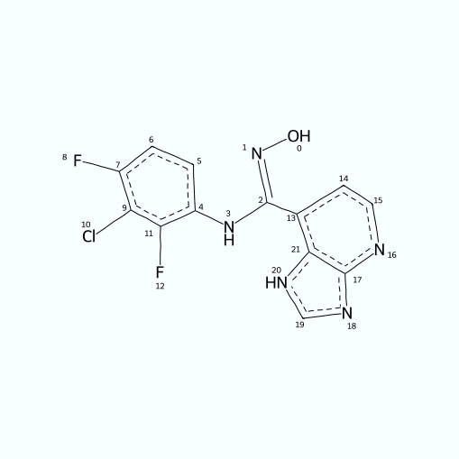 O/N=C(/Nc1ccc(F)c(Cl)c1F)c1ccnc2nc[nH]c12